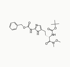 CON(C)C(=O)[C@H](CCc1cnc(NC(=O)OCc2ccccc2)[nH]1)NC(=O)OC(C)(C)C